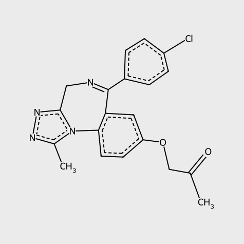 CC(=O)COc1ccc2c(c1)C(c1ccc(Cl)cc1)=NCc1nnc(C)n1-2